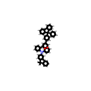 CC1(C)c2ccccc2-c2cc(N(c3ccccc3)c3ccccc3-c3cccc(-c4ccc(C5(c6ccccc6)c6ccccc6-c6ccccc65)cc4)c3)ccc21